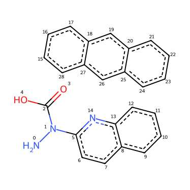 NN(C(=O)O)c1ccc2ccccc2n1.c1ccc2cc3ccccc3cc2c1